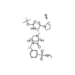 C[C@@H](c1cccc(S(N)(=O)=O)c1)N1C(=O)[C@@H]2C[C@H]1CN2C[C@H](NC(=O)OC(C)(C)C)C(=O)N1CCC[C@H]1C#N